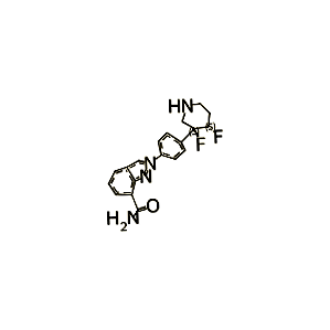 NC(=O)c1cccc2cn(-c3ccc([C@]4(F)CNCC[C@@H]4F)cc3)nc12